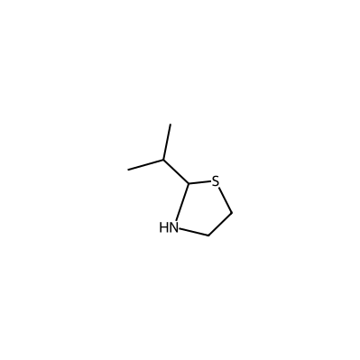 CC(C)C1NCCS1